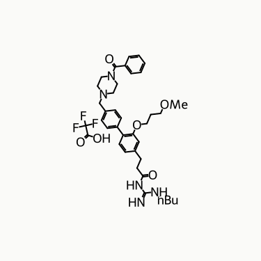 CCCCNC(=N)NC(=O)CCc1ccc(-c2ccc(CN3CCN(C(=O)c4ccccc4)CC3)cc2)c(OCCCOC)c1.O=C(O)C(F)(F)F